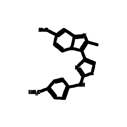 CCOC(=O)c1ccc(Nc2nc(-c3c(C)nc4cc(OC)ccn34)cs2)cc1